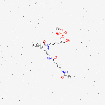 CC(=O)N[C@@H](CCCCNC(=O)CCCCCNC(=O)C(C)C)C(=O)NCCCCC(CO)COP(=O)(O)OC(C)C